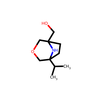 CC(C)C12CCC(CO)(COC1)N2